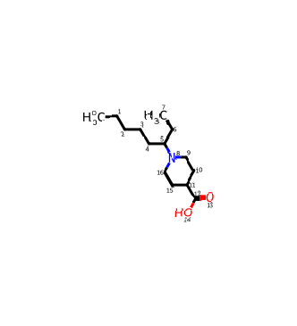 CCCCCC(CC)N1CCC(C(=O)O)CC1